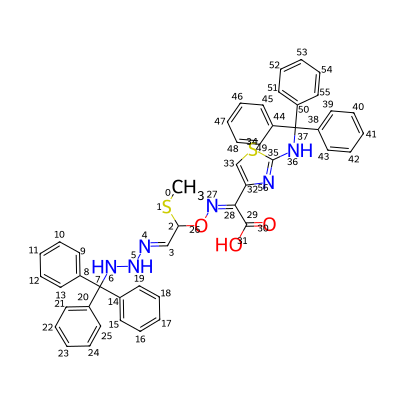 CSC(C=NNNC(c1ccccc1)(c1ccccc1)c1ccccc1)ON=C(C(=O)O)c1csc(NC(c2ccccc2)(c2ccccc2)c2ccccc2)n1